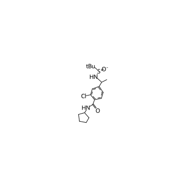 CC(N[S+]([O-])C(C)(C)C)c1ccc(C(=O)NC2CCCC2)c(Cl)c1